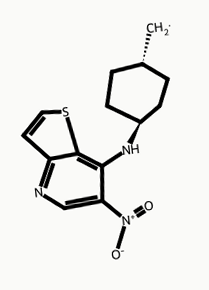 [CH2][C@H]1CC[C@H](Nc2c([N+](=O)[O-])cnc3ccsc23)CC1